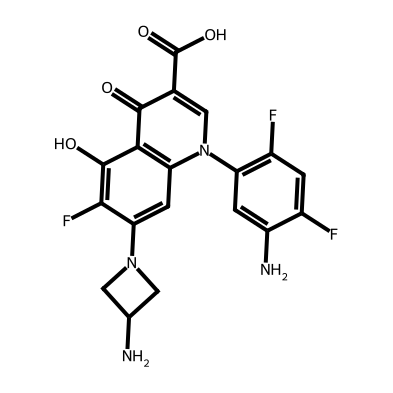 Nc1cc(-n2cc(C(=O)O)c(=O)c3c(O)c(F)c(N4CC(N)C4)cc32)c(F)cc1F